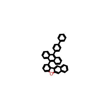 c1ccc(-c2ccc(-c3c4ccccc4c(-c4cccc5oc6cc7ccccc7cc6c45)c4ccccc34)cc2)cc1